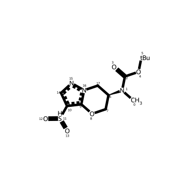 CN(C(=O)OC(C)(C)C)[C@H]1COc2c([SH](=O)=O)cnn2C1